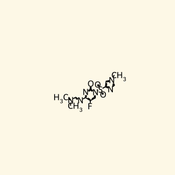 CN(C)C=Nc1nc(=O)n(S(=O)(=O)c2cn(C)cn2)cc1F